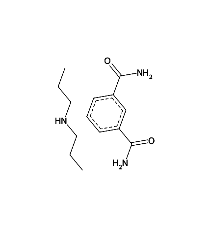 CCCNCCC.NC(=O)c1cccc(C(N)=O)c1